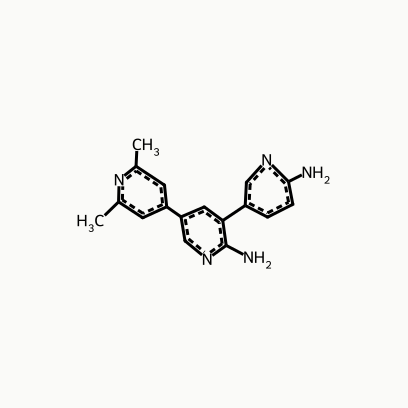 Cc1cc(-c2cnc(N)c(-c3ccc(N)nc3)c2)cc(C)n1